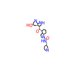 O=C(c1c[nH]c2ncc(O)cc12)c1cccc2c1ccn2C(=O)NCc1cccnc1